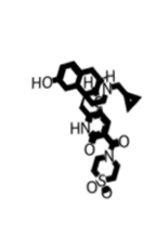 O=C(c1cc2c([nH]c1=O)C[C@@]13CCN(CC4CC4)[C@H](CC4=CC=C(O)CC41)[C@@H]3C2)N1CCS(=O)(=O)CC1